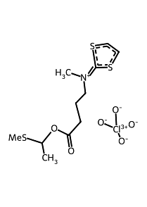 CSC(C)OC(=O)CCC[N+](C)=c1sccs1.[O-][Cl+3]([O-])([O-])[O-]